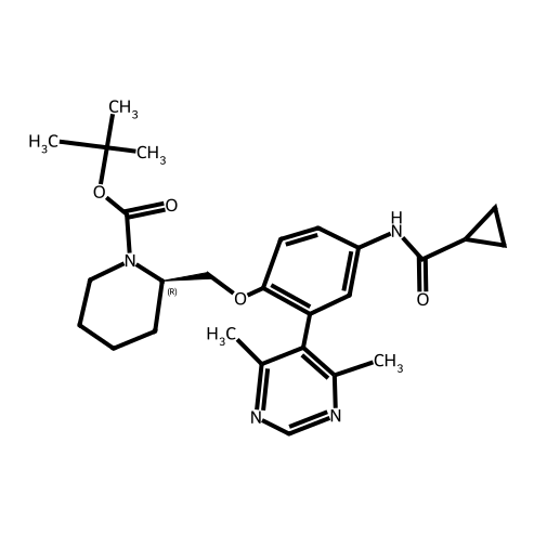 Cc1ncnc(C)c1-c1cc(NC(=O)C2CC2)ccc1OC[C@H]1CCCCN1C(=O)OC(C)(C)C